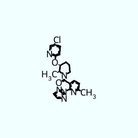 Cc1ccc(C(=O)N2CCC[C@@H](Oc3ccc(Cl)cn3)[C@@H]2C)c(-n2nccn2)n1